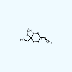 C=CC1CCC(CO)(CO)CC1